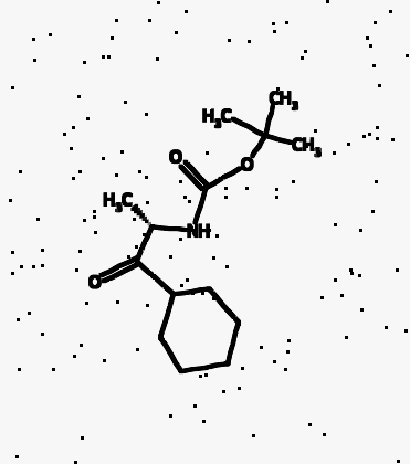 C[C@H](NC(=O)OC(C)(C)C)C(=O)C1CCCCC1